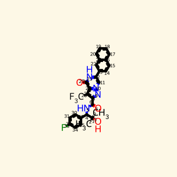 CC(C)(O)C(NC(=O)c1nn2cc(-c3ccc4ccccc4c3)[nH]c(=O)c2c1C(F)(F)F)c1ccc(F)cc1